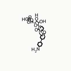 Nc1ccc(-c2ccnc(Cn3c(=O)ccn([C@@H]4O[C@H](COP(=O)(O)O)C(O)C4O)c3=O)c2)cc1